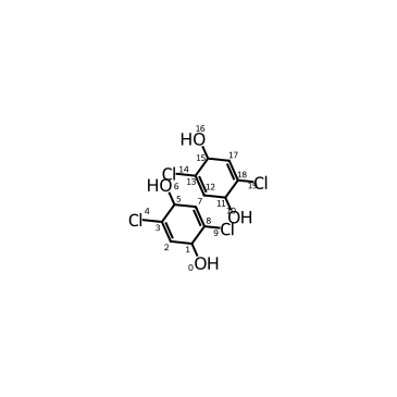 OC1C=C(Cl)C(O)C=C1Cl.OC1C=C(Cl)C(O)C=C1Cl